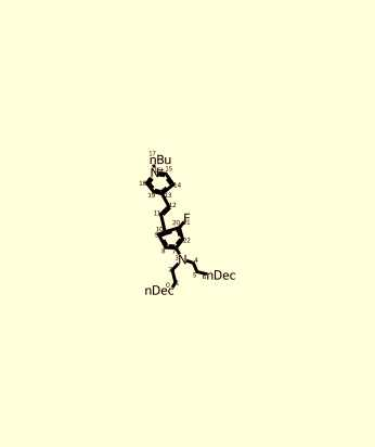 CCCCCCCCCCCCN(CCCCCCCCCCCC)c1ccc(/C=C/c2cc[n+](CCCC)cc2)c(F)c1